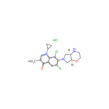 Cl.O=C(O)c1cn(C2CC2)c2c(Cl)c(N3C[C@@H]4OCCN[C@@H]4C3)c(F)cc2c1=O